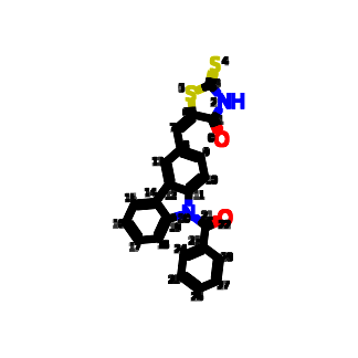 O=C1NC(=S)S/C1=C/c1ccc2c(c1)c1ccccc1n2C(=O)c1ccccc1